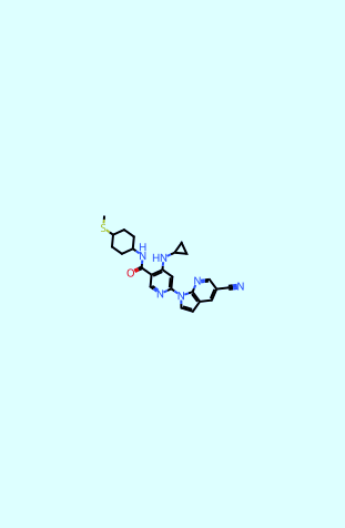 CSC1CCC(NC(=O)c2cnc(-n3ccc4cc(C#N)cnc43)cc2NC2CC2)CC1